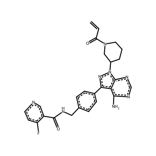 C=CC(=O)N1CCCC(n2nc(-c3ccc(CNC(=O)c4cnccc4F)cc3)c3c(N)ncnc32)C1